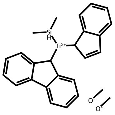 C[O-].C[O-].C[SiH](C)[Ti+2]([CH]1C=Cc2ccccc21)[CH]1c2ccccc2-c2ccccc21